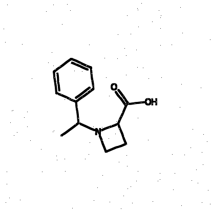 CC(c1ccccc1)N1CCC1C(=O)O